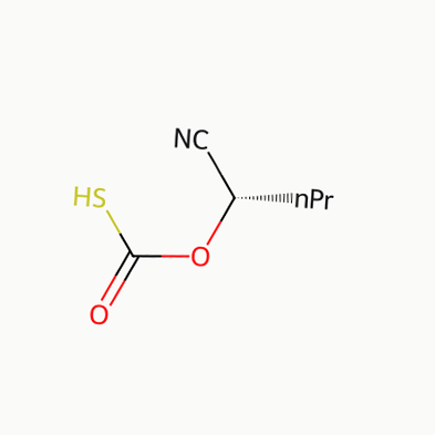 CCC[C@@H](C#N)OC(=O)S